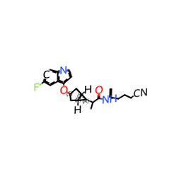 C=C(CCCC#N)NC(=O)C(C)[C@H]1[C@@H]2C[C@@H](Oc3ccnc4ccc(F)cc34)C[C@@H]21